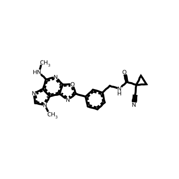 CNc1nc2oc(-c3cccc(CNC(=O)C4(C#N)CC4)c3)nc2c2c1ncn2C